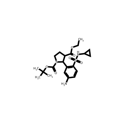 CCOC(=O)C1CCN(C(=O)OC(C)(C)C)C1c1cc(N)ccc1S(=O)(=O)NC1CC1